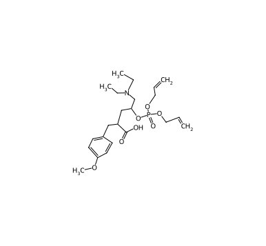 C=CCOP(=O)(OCC=C)OC(CC(Cc1ccc(OC)cc1)C(=O)O)CN(CC)CC